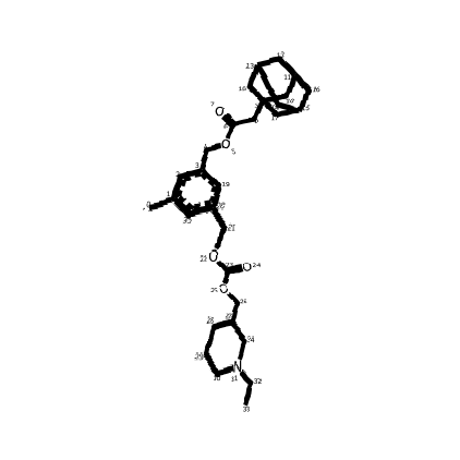 [CH2]c1cc(COC(=O)CC23CC4CC(CC(C4)C2)C3)cc(COC(=O)OCC2CCCN(CC)C2)c1